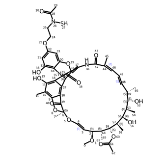 CO[C@H]1/C=C/O[C@@]2(C)Oc3c(C)c(O)c4c(=O)c(c5oc6cc(OCCN(S)C(C)=O)cc(O)c6nc-5c4c3C2=O)NC(=O)/C(C)=C\C=C\[C@H](C)[C@H](O)[C@@H](C)[C@@H](O)[C@@H](C)[C@H](OC(C)=O)[C@@H]1C